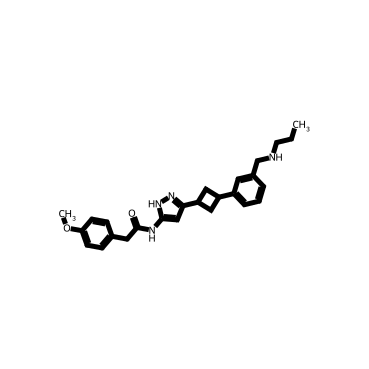 CCCNCc1cccc(C2CC(c3cc(NC(=O)Cc4ccc(OC)cc4)[nH]n3)C2)c1